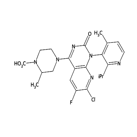 Cc1ccnc(C(C)C)c1-n1c(=O)nc(N2CCN(C(=O)O)C(C)C2)c2cc(F)c(Cl)nc21